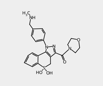 CNCc1ccc(-n2nc(C(=O)N3CCOCC3)c3c2-c2ccccc2S(O)(O)C3)cc1